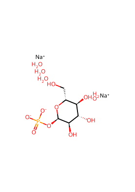 O.O.O.O.O=P([O-])([O-])O[C@H]1O[C@H](CO)[C@@H](O)[C@H](O)[C@H]1O.[Na+].[Na+]